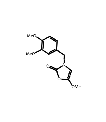 COc1cn(Cc2ccc(OC)c(OC)c2)c(=O)o1